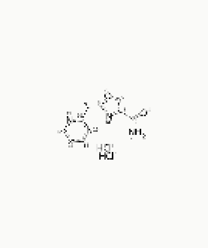 Cl.Cl.NC(=O)c1coc(Cc2ncccn2)n1